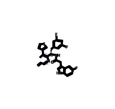 C=C/C=N\C(=C(/C)c1ccsc1)[C@H](Cc1cc(F)cc(F)c1)NC(=O)Cc1c[nH]c2ccc(F)cc12